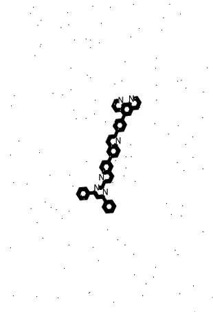 c1ccc(-c2cc(-c3ccccc3)nc(-c3ccc4cc(-c5ccc6nc(-c7ccc(-c8cc9cccnc9c9ncccc89)cc7)ccc6c5)ccc4n3)n2)cc1